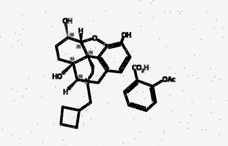 CC(=O)Oc1ccccc1C(=O)O.Oc1ccc2c3c1O[C@H]1[C@@H](O)CC[C@@]4(O)[C@@H](C2)N(CC2CCC2)CC[C@]314